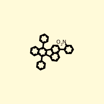 O=[N+]([O-])c1ccccc1-c1ccc2c3c(cccc13)-c1c-2c(-c2ccccc2)c2ccccc2c1-c1ccccc1